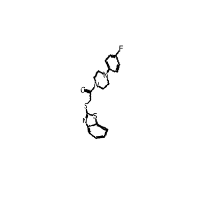 O=C(CSc1nc2ccccc2s1)N1CCN(c2ccc(F)cc2)CC1